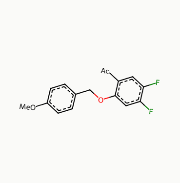 COc1ccc(COc2cc(F)c(F)cc2C(C)=O)cc1